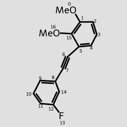 COc1c[c]cc(C#Cc2cccc(F)c2)c1OC